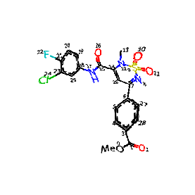 COC(=O)c1ccc(C2=NS(=O)(=O)N(C)C(C(=O)Nc3ccc(F)c(Cl)c3)=C2)cc1